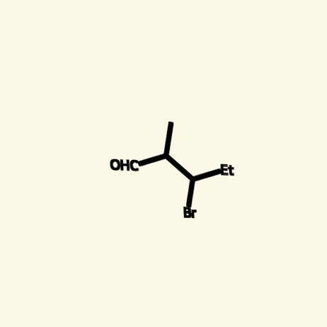 CCC(Br)C(C)C=O